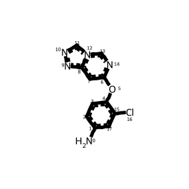 Nc1ccc(Oc2cc3nncn3cn2)c(Cl)c1